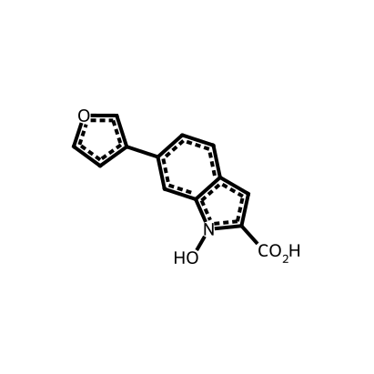 O=C(O)c1cc2ccc(-c3ccoc3)cc2n1O